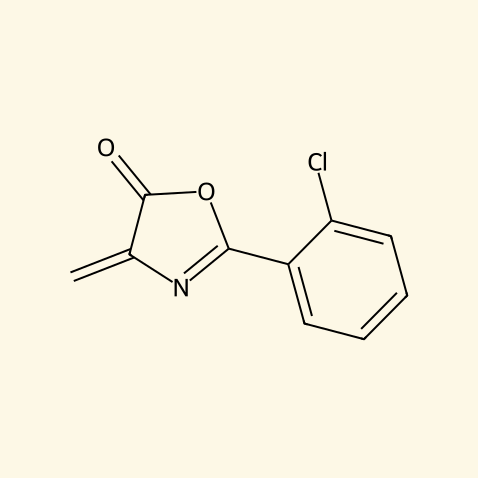 C=C1N=C(c2ccccc2Cl)OC1=O